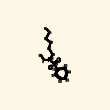 CCCCCCN(CC)S(=O)(=O)c1[c]cccc1